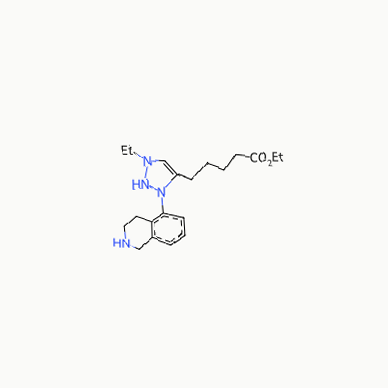 CCOC(=O)CCCCC1=CN(CC)NN1c1cccc2c1CCNC2